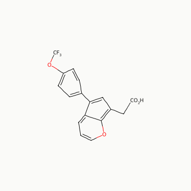 O=C(O)Cc1cc(-c2ccc(OC(F)(F)F)cc2)c2cccoc1-2